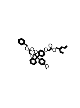 C=C/C=C(\C=C)COC(=O)COc1ccc(C2(c3ccc(OC)cc3)C(=O)N(CC(=O)OCc3ccccc3)c3ccccc32)cc1